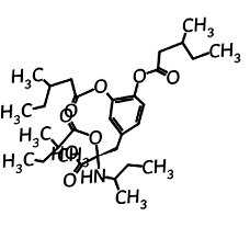 CCC(C)CC(=O)Oc1ccc(C[C@](NC(C)CC)(OC(=O)C(C)(C)CC)C(=O)O)cc1OC(=O)CC(C)CC